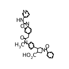 CN(C(=O)Cc1ccc2nc(Nc3cccnc3)oc2c1)c1ccc(C2CN(C(=O)c3ccccc3)CC2C(=O)O)cc1